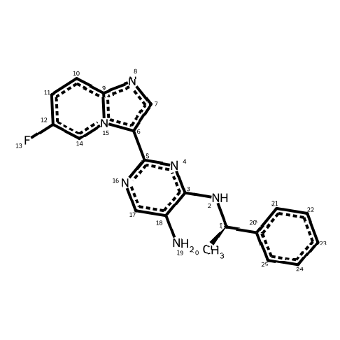 C[C@@H](Nc1nc(-c2cnc3ccc(F)cn23)ncc1N)c1ccccc1